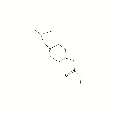 CCC(=O)CN1CCN(CC(C)C)CC1